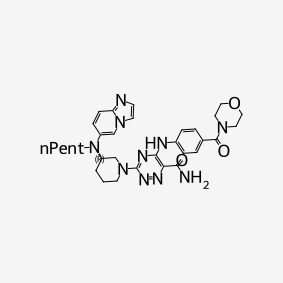 CCCCCN(c1ccc2nccn2c1)[C@@H]1CCCN(c2nnc(C(N)=O)c(Nc3ccc(C(=O)N4CCOCC4)cc3)n2)C1